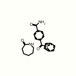 NC(=O)c1ccc(C(=O)n2c3ccc2cc3)cc1.O=C1CCCCCN1